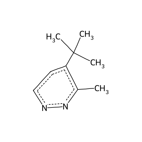 Cc1nnccc1C(C)(C)C